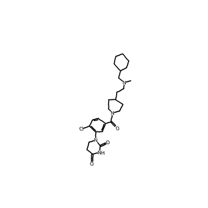 CN(CCC1CCN(C(=O)c2ccc(Cl)c(N3CCC(=O)NC3=O)c2)CC1)CC1CCCCC1